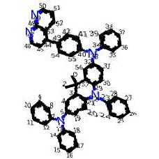 CC1(C)c2cc(N(c3ccccc3)c3ccccc3)ccc2N(c2ccccc2)c2ccc(N(c3ccccc3)c3ccc(-c4ccnc5ncccc45)cc3)cc21